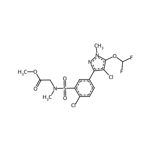 COC(=O)CN(C)S(=O)(=O)c1cc(-c2nn(C)c(OC(F)F)c2Cl)ccc1Cl